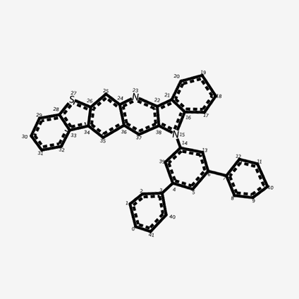 c1ccc(-c2cc(-c3ccccc3)cc(-n3c4ccccc4c4nc5cc6sc7ccccc7c6cc5cc43)c2)cc1